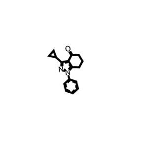 O=C1CCCc2c1c(C1CC1)nn2-c1ccccc1